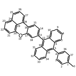 Cc1ccc(-c2c3ccccc3c(-c3ccc4c(c3)Oc3cccc5cccc-4c35)c3ccccc23)cc1